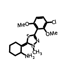 COc1ccc(Cl)c(OC)c1C1=NN(C)C(=C2CCCCC2N)S1